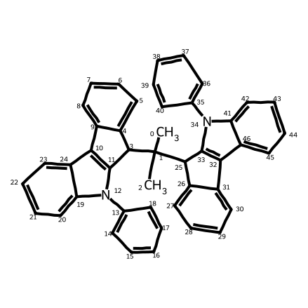 CC(C)(C1c2ccccc2-c2c1n(-c1ccccc1)c1ccccc21)C1c2ccccc2-c2c1n(-c1ccccc1)c1ccccc21